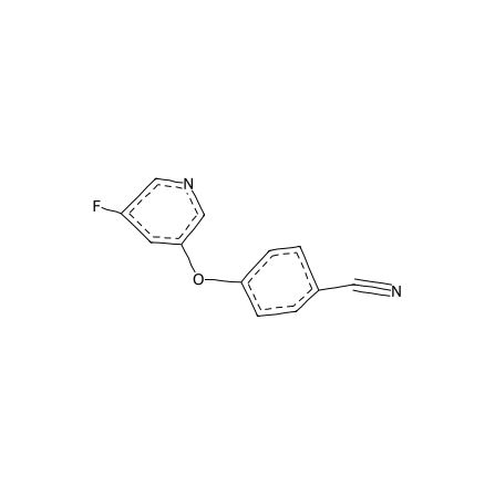 N#Cc1ccc(Oc2cncc(F)c2)cc1